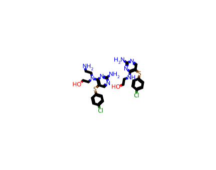 NCCN(CCO)c1nc(N)ncc1Sc1ccc(Cl)cc1.Nc1ncc(Sc2ccc(Cl)cc2)c(NCCO)n1